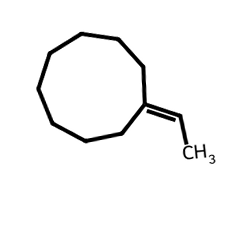 CC=C1CCCCCCCC1